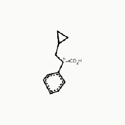 O=C(O)[C@@H](CC1CC1)c1ccccc1